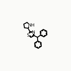 c1ccc(C(c2ccccc2)c2csc(C3CCCN3)n2)cc1